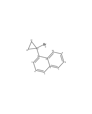 BrC1(c2cccc3ccccc23)CC1